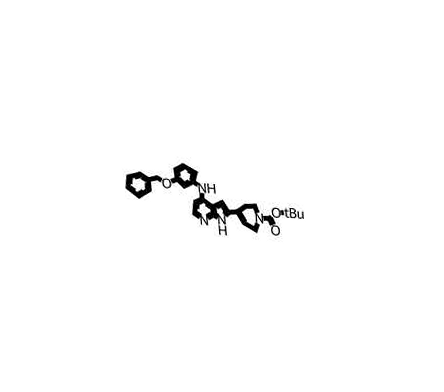 CC(C)(C)OC(=O)N1CC=C(c2cc3c(Nc4cccc(OCc5ccccc5)c4)ccnc3[nH]2)CC1